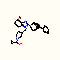 O=C(C1CC1)N1CC[C@@H](Cn2c(-c3ccc(-c4ccccc4)cc3)nc3c(Br)cccc32)C1